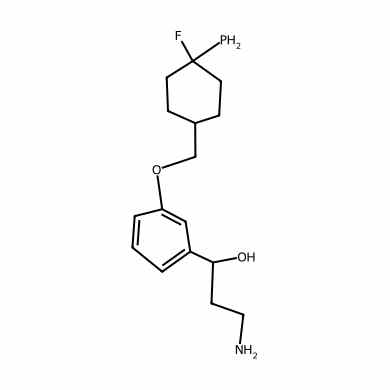 NCCC(O)c1cccc(OCC2CCC(F)(P)CC2)c1